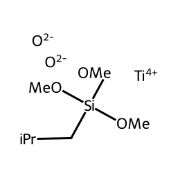 CO[Si](CC(C)C)(OC)OC.[O-2].[O-2].[Ti+4]